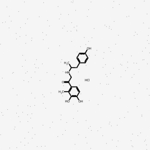 Cc1c(C(=O)CNC(C)Cc2ccc(O)cc2)ccc(O)c1O.Cl